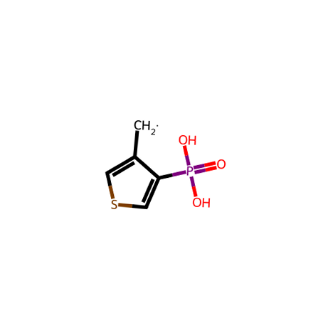 [CH2]c1cscc1P(=O)(O)O